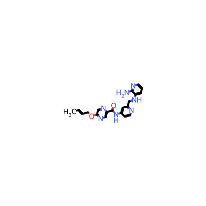 C/C=C/COc1cnc(C(=O)Nc2ccnc(CNc3cccnc3N)c2)cn1